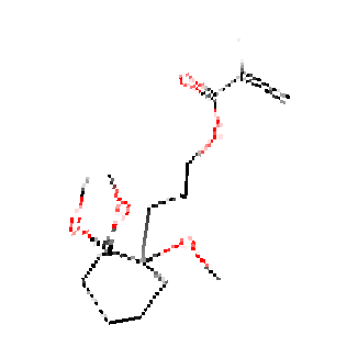 C=C(C)C(=O)OCCCC1(OC)CCCC[Si]1(OC)OC